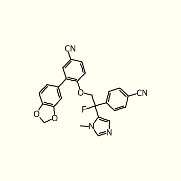 Cn1cncc1C(F)(COc1ccc(C#N)cc1-c1ccc2c(c1)OCO2)c1ccc(C#N)cc1